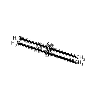 CCCCCCCCCCCCCCCCCCN(CCCCCCCCCCCCCCCCCC)C(=S)[S-].CCCCCCCCCCCCCCCCCCN(CCCCCCCCCCCCCCCCCC)C(=S)[S-].[Zn+2]